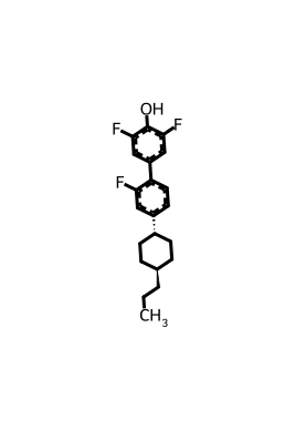 CCC[C@H]1CC[C@H](c2ccc(-c3cc(F)c(O)c(F)c3)c(F)c2)CC1